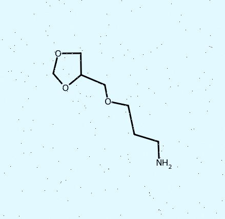 NCCCOCC1COCO1